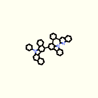 c1ccc(-n2c3ccc4ccccc4c3c3cc(-c4cc5c6c(c4)c4ccccc4n6-c4nc6ccccc6cc4-c4ccccc4-5)c4ccccc4c32)cc1